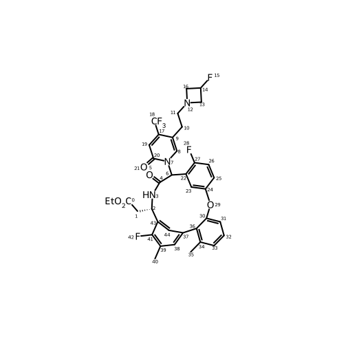 CCOC(=O)C[C@@H]1NC(=O)C(n2cc(CCN3CC(F)C3)c(C(F)(F)F)cc2=O)c2cc(ccc2F)Oc2cccc(C)c2-c2cc(C)c(F)c1c2